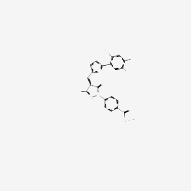 CNC(=O)c1ccc(N2N=C(C)C(=Cc3ccc(-c4cc(C)c(C)cc4[N+](=O)[O-])o3)C2=O)cc1